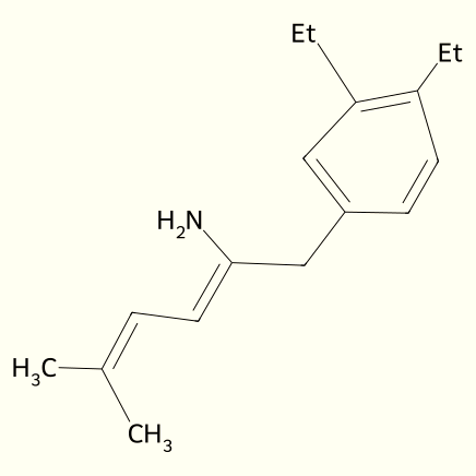 CCc1ccc(C/C(N)=C/C=C(C)C)cc1CC